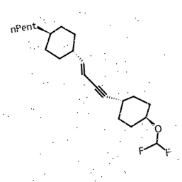 CCCCC[C@H]1CC[C@H](C=CC#C[C@H]2CC[C@H](OC(F)F)CC2)CC1